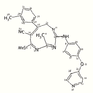 CSC1=N/C(C)=N/C(Nc2ccc(Oc3ccncc3)cc2)=N\C/C(c2cccc(C)c2)=C\1C#N